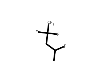 CC(F)CC(F)(F)C(F)(F)F